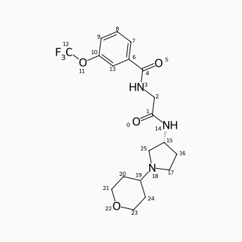 O=C(CNC(=O)c1cccc(OC(F)(F)F)c1)N[C@@H]1CCN(C2CCOCC2)C1